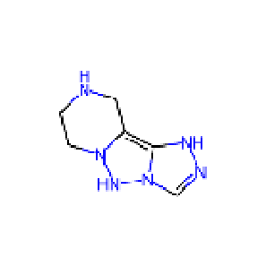 C1=NNC2=C3CNCCN3NN12